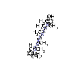 CC1=C(/C=C/C(C)=C/C=C/C(C)=C/C=C/C=C(C)/C=C/C=C(C)/C=C/C2=C(C)CCC[C@]2(C)CO)C(C)(C)CCC1